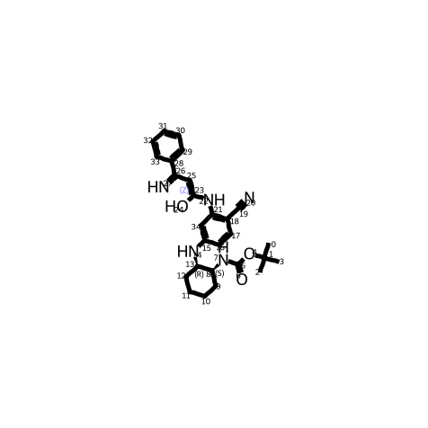 CC(C)(C)OC(=O)N[C@H]1CCCC[C@H]1Nc1ccc(C#N)c(N/C(O)=C/C(=N)c2ccccc2)c1